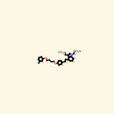 Cc1cccc(OCCCCOc2ccc(/C=C/c3cccc4c3c(CC(=O)O)cn4CC(=O)O)cc2)c1